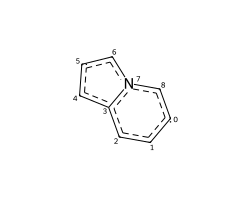 [c]1ccc2c[c]cn2c1